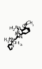 COc1cccc2c1nc(N)n1nc(CNC(C)(C)c3ccccn3)nc21